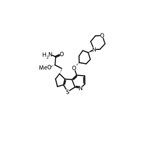 CO[C@@H](C[C@H]1CCc2sc3nccc(O[C@H]4CC[C@H](N5CCOCC5)CC4)c3c21)C(N)=O